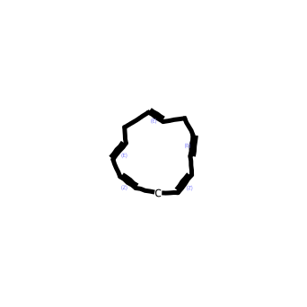 C1=C\C/C=C\C=C\C/C=C/C/C=C/1